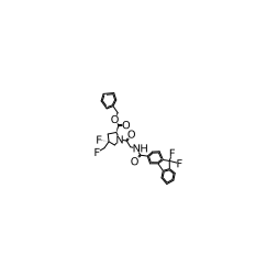 O=C(NCC(=O)N1C[C@@](F)(CF)C[C@H]1C(=O)OCc1ccccc1)c1ccc2c(c1)-c1ccccc1C2(F)F